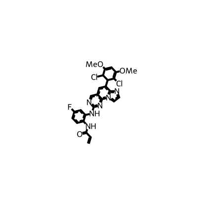 C=CC(=O)Nc1ccc(F)cc1Nc1ncc2cc(C3C(Cl)=C(OC)C=C(OC)C3Cl)c3nccn3c2n1